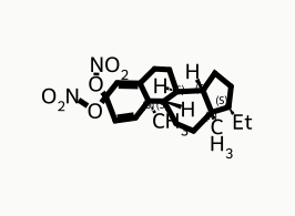 CC[C@H]1CC[C@H]2[C@@H]3CCC4=CC(O[N+](=O)[O-])(O[N+](=O)[O-])C=C[C@]4(C)[C@H]3CC[C@]12C